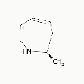 C[C@@H]1CC=CC=CN1